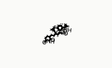 O=C1CCC(CCC/C=C/CS(=O)(=O)NC2(c3ccc(F)c(OCC4CC4)c3)CC2)C(=O)N1